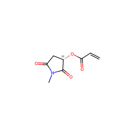 C=CC(=O)O[C@H]1CC(=O)N(C)C1=O